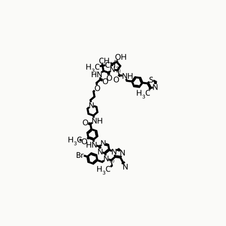 CC[C@@H]1c2c(C#N)ncn2-c2cnc(Nc3ccc(C(=O)NC4CCN(CCCOCC(=O)NC(C(=O)N5C[C@H](O)C[C@H]5C(=O)NCc5ccc(-c6scnc6C)cc5)C(C)(C)C)CC4)cc3OC)nc2N1Cc1ccc(Br)cc1